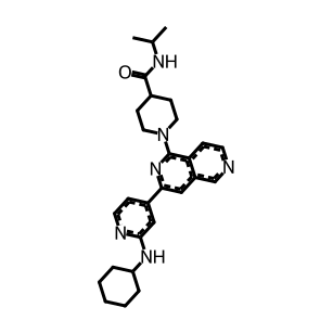 CC(C)NC(=O)C1CCN(c2nc(-c3ccnc(NC4CCCCC4)c3)cc3cnccc23)CC1